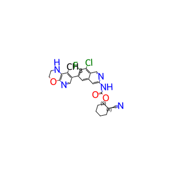 Cc1c(-c2cc3cc(NC(=O)O[C@H]4CCCC[C@@H]4C#N)ncc3c(Cl)c2F)cnc2c1NCCO2